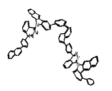 c1ccc(-c2cccc3c2c2cc4ccccc4cc2n3-c2nnc(-c3ccc(-c4cccc5c(-c6cccc(-c7ccc8c(c7)c7cc9ccccc9cc7n8-c7nnc(-c8ccc(-c9ccc%10ccccc%10c9)cc8)c8ccccc78)c6)cccc45)cc3)c3ccccc23)cc1